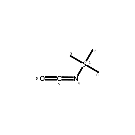 CS(C)(C)N=C=O